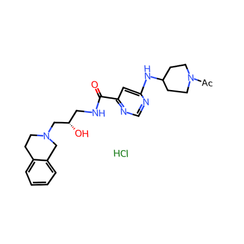 CC(=O)N1CCC(Nc2cc(C(=O)NC[C@H](O)CN3CCc4ccccc4C3)ncn2)CC1.Cl